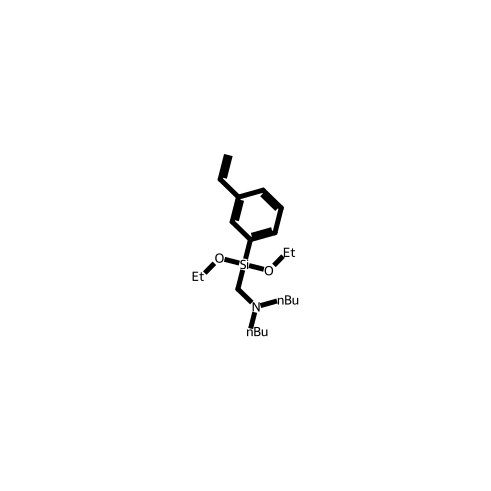 C=Cc1cccc([Si](CN(CCCC)CCCC)(OCC)OCC)c1